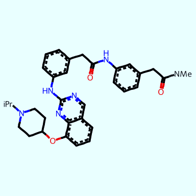 CNC(=O)Cc1cccc(NC(=O)Cc2cccc(Nc3ncc4cccc(OC5CCN(C(C)C)CC5)c4n3)c2)c1